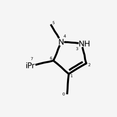 CC1=CNN(C)C1C(C)C